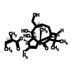 C/C=C(/C)C(=O)O[C@H]1C(C)=CC23C(=O)C4C(C/C=C(/CO)[C@@H](O)[C@]12O)[C@@H](C[C@H]3C)C4(C)C